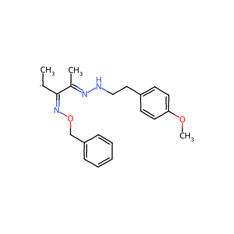 C[CH]C(=NOCc1ccccc1)C(C)=NNCCc1ccc(OC)cc1